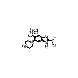 CCC(CC)c1nc2cc(Cl)c(N3CCNCC3)cc2[nH]1.Cl.Cl